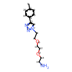 Cc1ccc(-c2cn(CCOCCOCCN)nn2)cc1